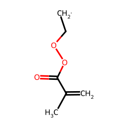 [CH2]COOC(=O)C(=C)C